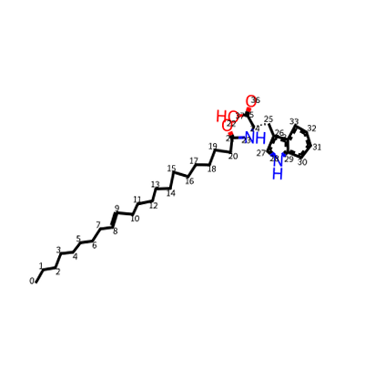 CCCCCCCCC=CCCCCCCCCCCCC(=O)N[C@@H](Cc1c[nH]c2ccccc12)C(=O)O